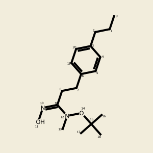 CCCc1ccc(CC/C(=N/O)N(C)OC(C)(C)C)cc1